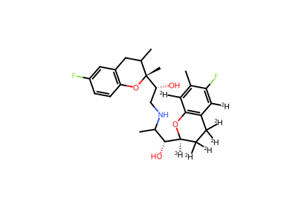 [2H]c1c(C)c(F)c([2H])c2c1O[C@]([2H])([C@H](O)C(C)NC[C@@H](O)[C@]1(C)Oc3ccc(F)cc3CC1C)C([2H])([2H])C2([2H])[2H]